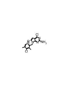 Cc1c[n+]([O-])c(Cn2ccc3c(Cl)nc(N)nc32)c(C)c1Cl